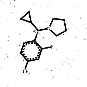 Fc1cc(C(F)(F)F)ccc1[C@@H](C1CC1)N1CCCC1